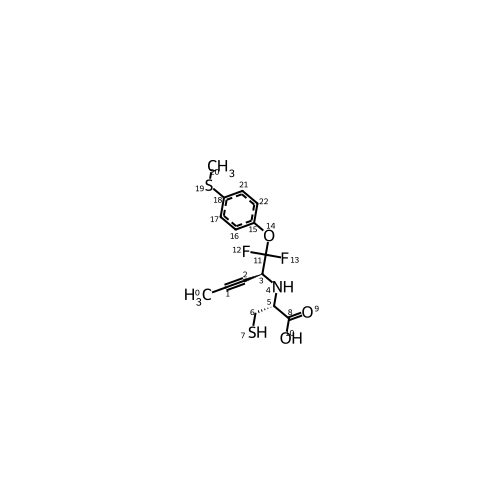 CC#C[C@H](N[C@@H](CS)C(=O)O)C(F)(F)Oc1ccc(SC)cc1